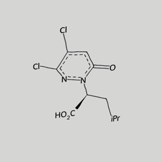 CC(C)C[C@@H](C(=O)O)n1nc(Cl)c(Cl)cc1=O